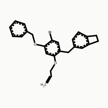 C=CCOc1cc(OCc2ccccc2)c(Br)cc1Cc1ccc2c(c1)CC2